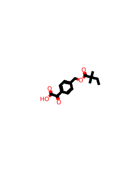 CCC(C)(C)C(=O)OCc1ccc(C(=O)C(=O)O)cc1